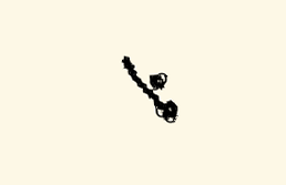 CCCCCCCCCCCCCCCCO[Si]1(C)CCCCO1.C[Si]1(C)CCCCO1